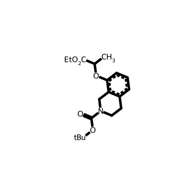 CCOC(=O)C(C)Oc1cccc2c1CN(C(=O)OC(C)(C)C)CC2